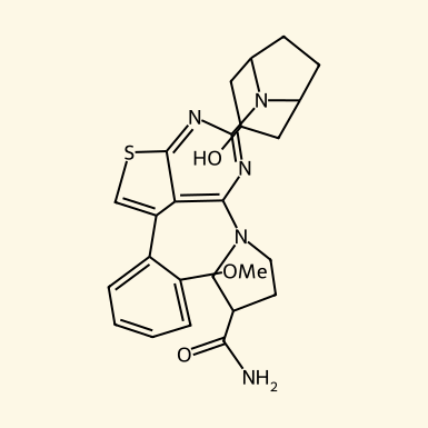 COc1ccccc1-c1csc2nc(N3C4CCC3CC(O)C4)nc(N3CCC(C(N)=O)C3)c12